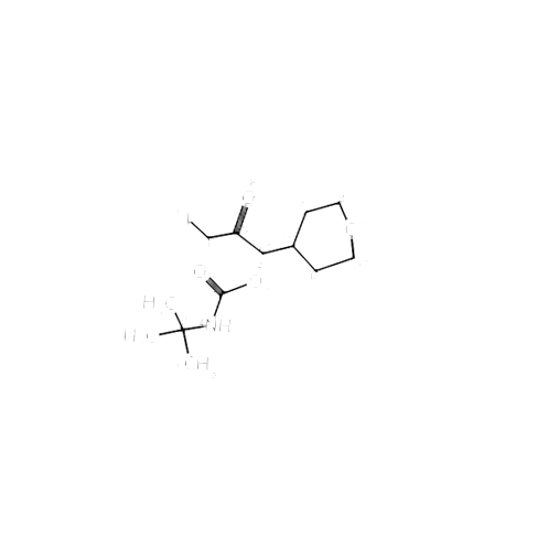 CC(C)(C)NC(=O)O[C@H](C(=O)CI)C1CCCCC1